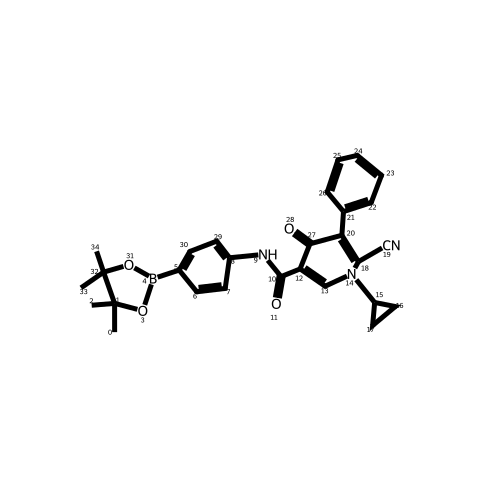 CC1(C)OB(c2ccc(NC(=O)c3cn(C4CC4)c(C#N)c(-c4ccccc4)c3=O)cc2)OC1(C)C